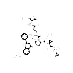 C=C[C@@H]1C[C@]1(NC(=O)[C@@H]1C[C@@H](Oc2cc(-c3ccccc3)nc3cc(OC)ccc23)CN1C(=O)[C@H](CCC(=O)N[C@@H]1C(=O)O[C@@H]1C)N(C(=O)O)C(C)(C)C)C(=O)NS(=O)(=O)C1CC1